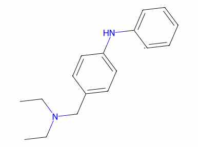 CCN(CC)Cc1ccc(Nc2[c]cccc2)cc1